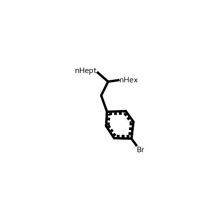 CCCCCCCC(CCCCCC)Cc1ccc(Br)cc1